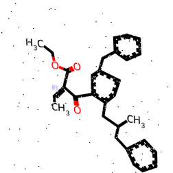 C/C=C(/C(=O)OCC)C(=O)c1cc(Cc2ccccc2)ccc1CC(C)Cc1ccccc1